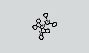 c1ccc(-c2cc(-n3c4c5ccccc5c5ccccc5c4c4c5sc6ccccc6c5c5ccccc5c43)cc(-c3ccccc3)n2)cc1